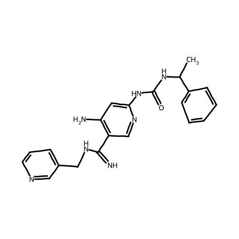 CC(NC(=O)Nc1cc(N)c(C(=N)NCc2cccnc2)cn1)c1ccccc1